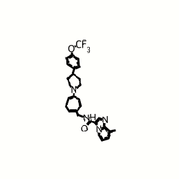 Cc1cccn2c(C(=O)NCC3=CCC=C(N4CCC(c5ccc(OC(F)(F)F)cc5)CC4)C=C3)cnc12